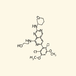 COc1cc(OC)c(Cl)c(-c2cc3cnc(NC4CCCOC4)nc3c(NCCO)n2)c1Cl